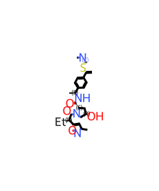 C=C(S/C=N\C)c1ccc([C@H](C)NC(=O)[C@@H]2C[C@@H](O)CN2C(=O)[C@H](CC)c2cc(C)no2)cc1